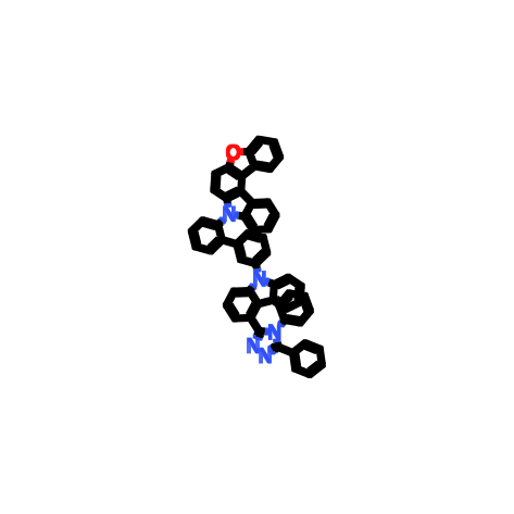 c1ccc(-c2nnc(-c3cccc4c3c3ccccc3n4-c3cccc(-c4ccccc4-n4c5ccccc5c5c6c(ccc54)oc4ccccc46)c3)n2-c2ccccc2)cc1